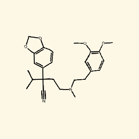 COc1ccc(CCN(C)CCC(C#N)(c2ccc3c(c2)OCO3)C(C)C)cc1OC